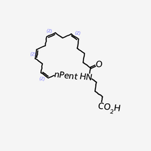 CCCCC/C=C\C/C=C\C/C=C\C/C=C\CCCC(=O)NCCCC(=O)O